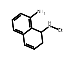 CCNC1CC=Cc2cccc(N)c21